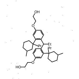 CCC(c1ccc(OCCO)cc1C1(C(C)C)CCCC(C)C1)c1ccc(OCCO)cc1C1(C(C)C)CCCC(C)C1